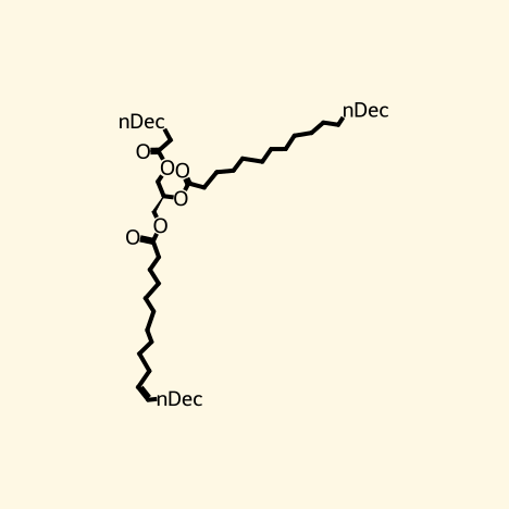 CCCCCCCCCC/C=C\CCCCCCCCCC(=O)OC[C@@H](COC(=O)CCCCCCCCCCC)OC(=O)CCCCCCCCCCCCCCCCCCCCC